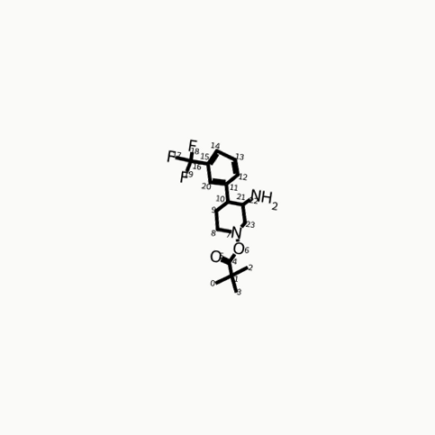 CC(C)(C)C(=O)ON1CCC(c2cccc(C(F)(F)F)c2)C(N)C1